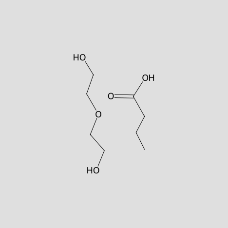 CCCC(=O)O.OCCOCCO